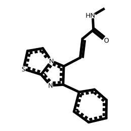 CNC(=O)C=Cc1c(-c2ccccc2)nc2sccn12